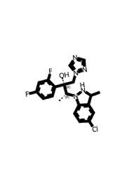 CC1NN([C@H](C)[C@](O)(Cn2cncn2)c2ccc(F)cc2F)c2ccc(Cl)cc21